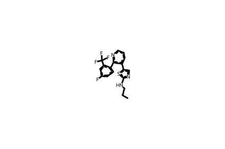 CCCNc1ncc(-c2cccnc2-c2ccc(F)cc2C(F)(F)F)s1